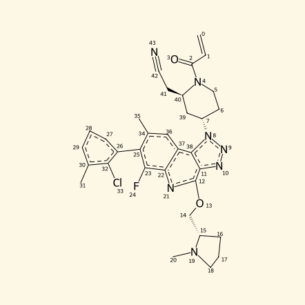 C=CC(=O)N1CC[C@H](n2nnc3c(OC[C@@H]4CCCN4C)nc4c(F)c(-c5cccc(C)c5Cl)c(C)cc4c32)C[C@H]1CC#N